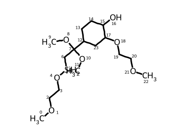 COCCO[SiH2]CC(OC)(OC)C1CCC(O)C(OCCOC)C1